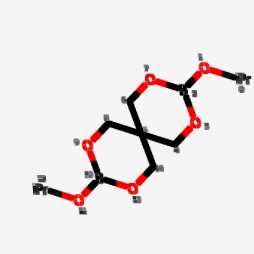 CC(C)OB1OCC2(CO1)COB(OC(C)C)OC2